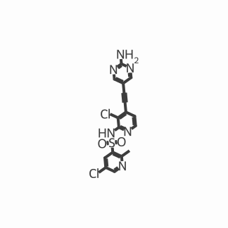 Cc1ncc(Cl)cc1S(=O)(=O)Nc1nccc(C#Cc2cnc(N)nc2)c1Cl